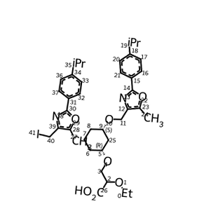 CCOC(CO[C@@H]1CCC[C@H](OCc2nc(-c3ccc(C(C)C)cc3)oc2C)C1)C(=O)O.Cc1oc(-c2ccc(C(C)C)cc2)nc1CI